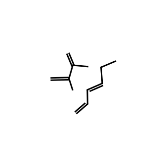 C=C(C)C(=C)C.C=C/C=C/CC